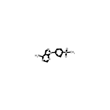 CS(=O)(=O)c1ccc(-n2ncc3c(N)ncnc32)cc1